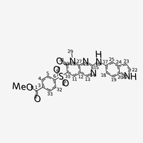 COC(=O)c1ccc(S(=O)(=O)c2cc3cnc(Nc4ccc5[nH]ccc5c4)nc3n(C)c2=O)cc1